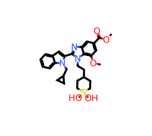 COC(=O)c1cc(OC)c2c(c1)nc(-c1cc3ccccc3n1CC1CC1)n2CCC1CCS(O)(O)CC1